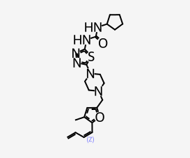 C=C/C=C\c1oc(CN2CCN(c3nnc(NC(=O)NC4CCCC4)s3)CC2)cc1C